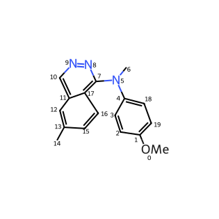 COc1ccc(N(C)c2nncc3cc(C)ccc23)cc1